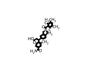 Cc1cc(C(N)=O)ccc1C(CC(=O)O)c1ccc2c(c1)CN(C(=O)c1c(C)c(C)cc(C)c1C)CC2